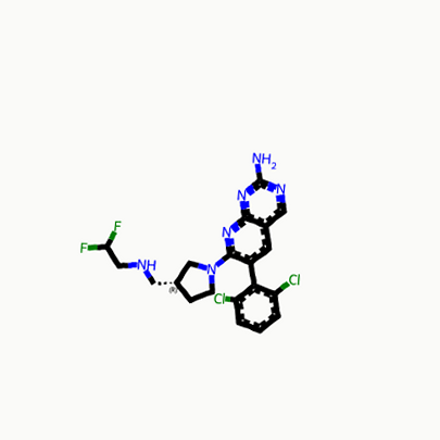 Nc1ncc2cc(-c3c(Cl)cccc3Cl)c(N3CC[C@H](CNCC(F)F)C3)nc2n1